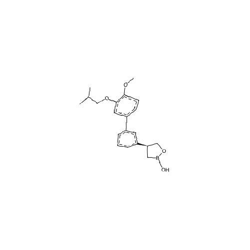 COc1ccc(-c2cccc([C@H]3COB(O)C3)c2)cc1OCC(C)C